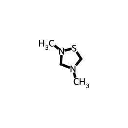 CN1CSN(C)C1